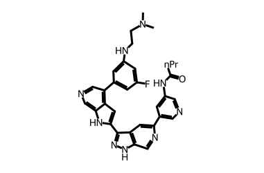 CCCC(=O)Nc1cncc(-c2cc3c(-c4cc5c(-c6cc(F)cc(NCCN(C)C)c6)cncc5[nH]4)n[nH]c3cn2)c1